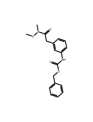 CON(C)C(=O)Cc1cccc(NC(=O)OCc2ccccc2)c1